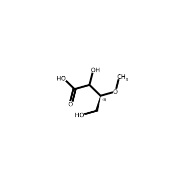 CO[C@@H](CO)C(O)C(=O)O